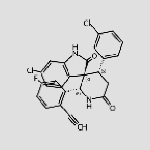 C#Cc1ccc(F)cc1[C@H]1NC(=O)C[C@@H](c2cccc(Cl)c2)[C@]12C(=O)Nc1cc(Cl)ccc12